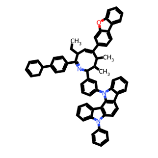 CCC1/C=C(/c2ccc3c(c2)oc2ccccc23)C(C)C(C)C(c2cccc(-n3c4ccccc4c4ccc5c(c6ccccc6n5-c5ccccc5)c43)c2)/N=C\1c1ccc(C2C=CC=CC2)cc1